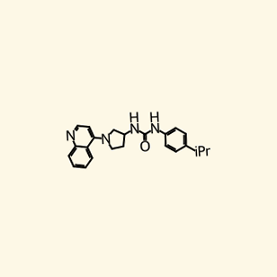 CC(C)c1ccc(NC(=O)NC2CCN(c3ccnc4ccccc34)C2)cc1